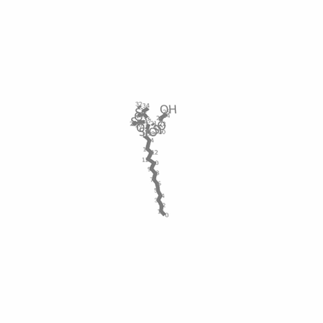 CCCCCCCCCCCCCCCC[Si](C)(O[Si](C)(C)OCCO)O[Si](C)(C)O[Si](C)(C)C